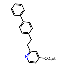 CCOC(=O)c1ccnc(CCc2ccc(-c3ccccc3)cc2)c1